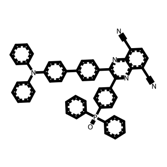 N#Cc1ccc(C#N)c2nc(-c3ccc(P(=O)(c4ccccc4)c4ccccc4)cc3)c(-c3ccc(-c4ccc(N(c5ccccc5)c5ccccc5)cc4)cc3)nc12